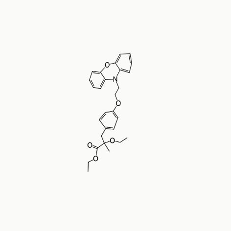 CCOC(=O)C(C)(Cc1ccc(OCCN2c3ccccc3Oc3ccccc32)cc1)OCC